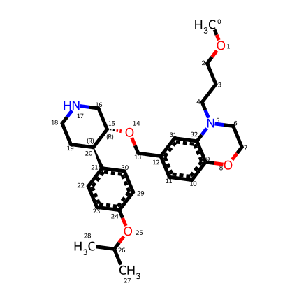 COCCCN1CCOc2ccc(CO[C@H]3CNCC[C@@H]3c3ccc(OC(C)C)cc3)cc21